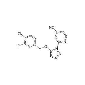 N#Cc1ccnc(-n2nccc2OCc2ccc(Cl)c(F)c2)c1